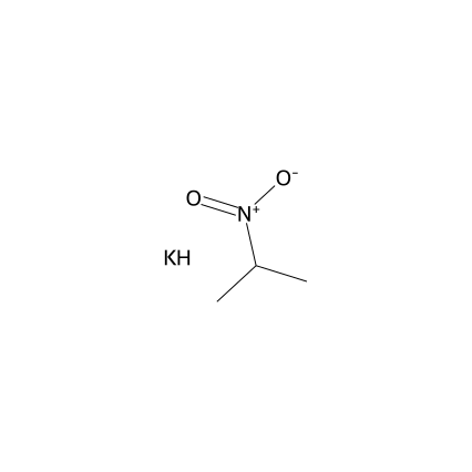 CC(C)[N+](=O)[O-].[KH]